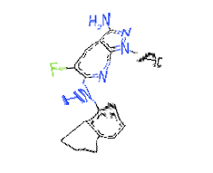 CC(=O)n1nc(N)c2cc(F)c(Nc3cccc4c3CCC4)nc21